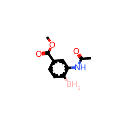 Bc1ccc(C(=O)OC)cc1NC(C)=O